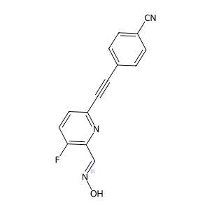 N#Cc1ccc(C#Cc2ccc(F)c(/C=N/O)n2)cc1